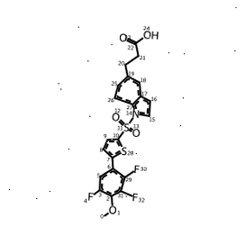 COc1c(F)cc(-c2ccc(S(=O)(=O)n3ccc4cc(CCC(=O)O)ccc43)s2)c(F)c1F